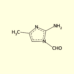 Cc1cn(C=O)c(N)n1